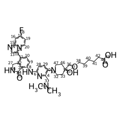 CN(C)Cc1nc(Nc2ccc(-c3cnc4cc(F)ccn34)c3c2C(=O)NC3)ccc1N1CCC(O)(COCCCCCC(=O)O)CC1